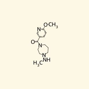 CNN1CCCN(C(=O)c2ccc(OC)nc2)CC1